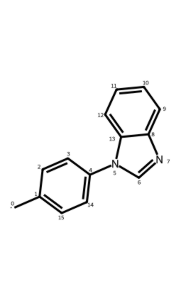 [CH2]c1ccc(-n2cnc3ccccc32)cc1